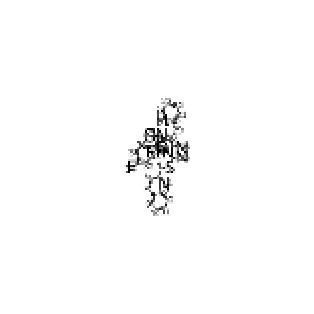 CCn1c(SCc2ccc3ccccc3n2)nnc1[C@@H](Cc1ccccc1)NS(=O)(=O)c1ccc(F)cc1